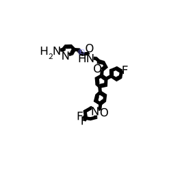 Nc1ccc(/C=C/C(=O)NCc2ccc(-c3ccc(-c4ccc(C(=O)N5CCC(F)(F)CC5)cc4)cc3-c3ccc(F)cc3)o2)cn1